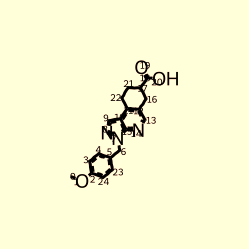 COc1ccc(Cn2ncc3c4c(cnc32)CC(C(=O)O)CC4)cc1